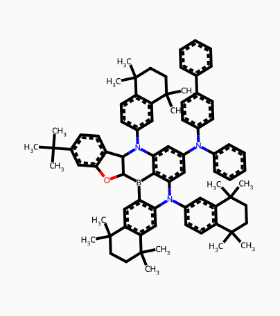 CC(C)(C)c1ccc2c(c1)OC1B3c4cc5c(cc4N(c4ccc6c(c4)C(C)(C)CCC6(C)C)c4cc(N(c6ccccc6)c6ccc(-c7ccccc7)cc6)cc(c43)N(c3ccc4c(c3)C(C)(C)CCC4(C)C)C21)C(C)(C)CCC5(C)C